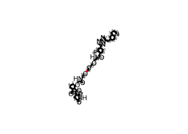 O=C(COc1cccc2c1C(=O)N(C1CCC(=O)NC1=O)C2=O)NCCOCCOCCOCCNC(=O)c1ccc(-c2cnc3ncc(Cc4ccc5ncccc5c4)n3n2)cc1F